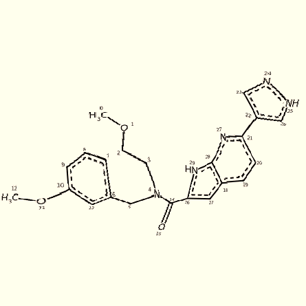 COCCN(Cc1cccc(OC)c1)C(=O)c1cc2ccc(-c3cn[nH]c3)nc2[nH]1